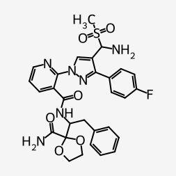 CS(=O)(=O)C(N)c1cn(-c2ncccc2C(=O)NC(Cc2ccccc2)C2(C(N)=O)OCCO2)nc1-c1ccc(F)cc1